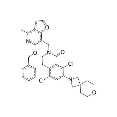 Cc1nc(OCc2ccccc2)c(CN2CCc3c(Cl)cc(N4CC5(CCOCC5)C4)c(Cl)c3C2=O)c2occc12